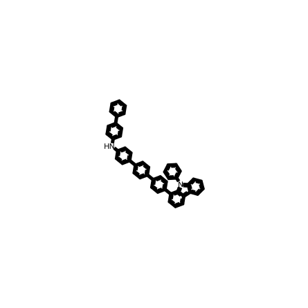 c1ccc(-c2ccc(Nc3ccc(-c4ccc(-c5ccc(-c6cccc7c8ccccc8n(-c8ccccc8)c67)cc5)cc4)cc3)cc2)cc1